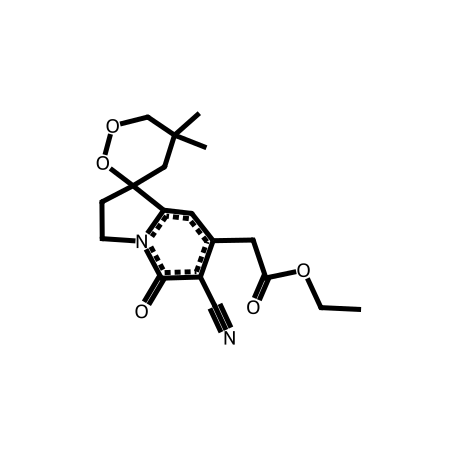 CCOC(=O)Cc1cc2n(c(=O)c1C#N)CCC21CC(C)(C)COO1